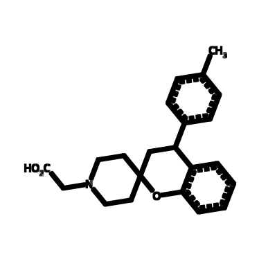 Cc1ccc(C2CC3(CCN(CC(=O)O)CC3)Oc3ccccc32)cc1